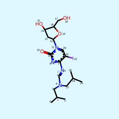 CC(C)CN(/C=N/c1nc(=O)n(C2CC(O)C(CO)O2)cc1I)CC(C)C